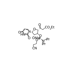 CCOC(=O)CC(=O)[C@H]1O[C@@H](n2ccc(=O)[nH]c2=O)[C@@H](OC)C1OP(OCCC#N)N(C(C)C)C(C)C